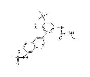 CCNC(=O)Nc1cc(C2=CC3C=CC(NS(C)(=O)=O)=CC3C=C2)c(OC)c(C(C)(C)C)c1